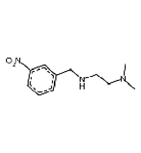 CN(C)CCNCc1cccc([N+](=O)[O-])c1